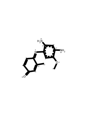 COc1cc(N=C2C=CC(=O)C=C2C)c(N)cc1N